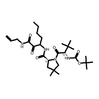 C=CCNC(=O)C(=O)C(CCCC)NC(=O)[C@@H]1CC(C)(C)CN1C(=O)[C@@H](NC(=O)OC(C)(C)C)C(C)(C)C